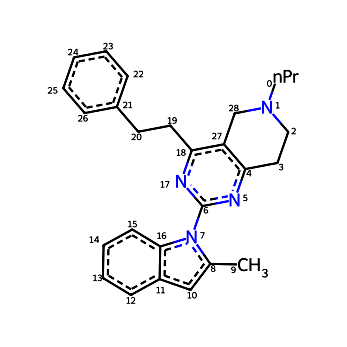 CCCN1CCc2nc(-n3c(C)cc4ccccc43)nc(CCc3ccccc3)c2C1